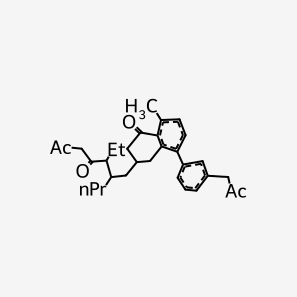 CCCC(CC1CC(=O)c2c(C)ccc(-c3cccc(CC(C)=O)c3)c2C1)C(CC)C(=O)CC(C)=O